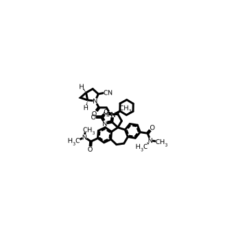 C[C@@H](CC1(c2nc(=O)on2C2CCCCC2)c2ccc(C(=O)N(C)C)cc2CCc2cc(C(=O)N(C)C)ccc21)NCC(=O)N1C(C#N)C[C@@H]2C[C@@H]21